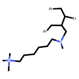 CCC(CC(C)C)C(CC(C)C)CN(C)CCCCCC[N+](C)(C)C